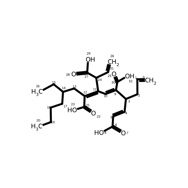 C=CCC(C=CC(=O)O)C(=CC(=C(CC(CC)CCCC)C(=O)O)C(C=C)C(=O)O)C(=O)O